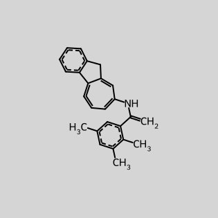 C=C(NC1=CC=C=C2C(=C1)Cc1ccccc12)c1cc(C)cc(C)c1C